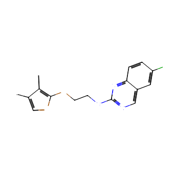 CCCCc1csc(SCCNc2ncc3cc(Br)ccc3n2)c1C